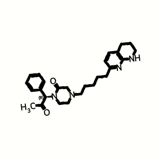 CC(=O)[C@@H](c1ccccc1)N1CCN(CCCCCc2ccc3c(n2)NCCC3)CC1=O